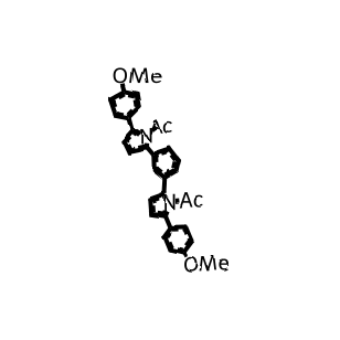 COc1ccc(-c2ccc(-c3cccc(-c4ccc(-c5ccc(OC)cc5)n4C(C)=O)c3)n2C(C)=O)cc1